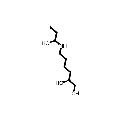 OC[C@@H](O)CCCCNC(O)CI